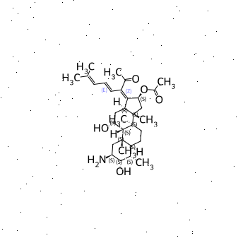 CC(=O)O[C@H]1C[C@@]2(C)[C@@H](C[C@@H](O)[C@H]3[C@@]4(C)C[C@H](N)[C@@H](O)[C@@H](C)[C@@H]4CC[C@@]32C)/C1=C(\C=C\C=C(C)C)C(C)=O